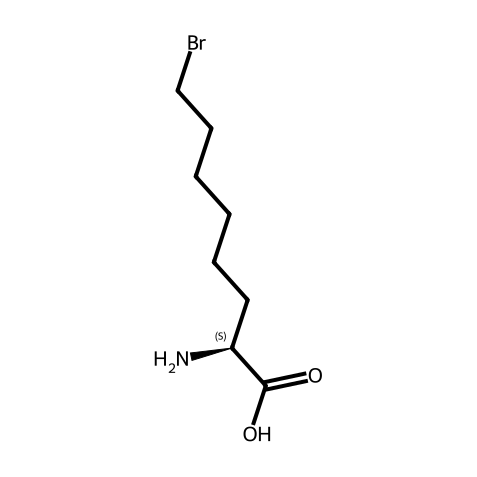 N[C@@H](CCCCCCBr)C(=O)O